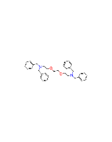 c1ccc(CN(CCOCCOCCN(Cc2ccccc2)Cc2ccccc2)Cc2ccccc2)cc1